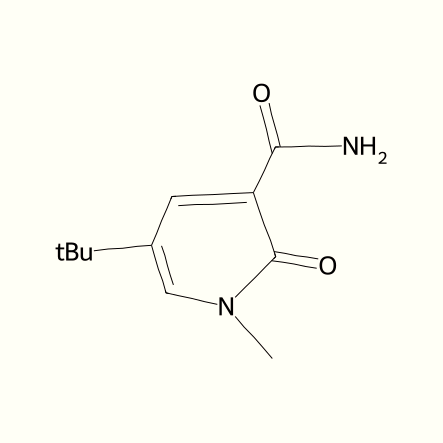 Cn1cc(C(C)(C)C)cc(C(N)=O)c1=O